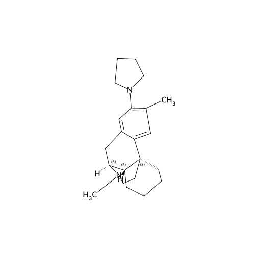 Cc1cc2c(cc1N1CCCC1)C[C@H]1[C@H]3CCCC[C@@]23CCN1C